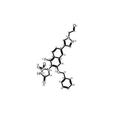 O=CCn1cc(-c2ccc3c(F)c(N4CC(=O)NS4(=O)=O)c(OCc4ccccc4)cc3c2)cn1